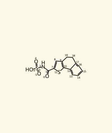 O=C(NS(=O)(=O)O)c1cc2c(s1)-c1ccccc1CC2